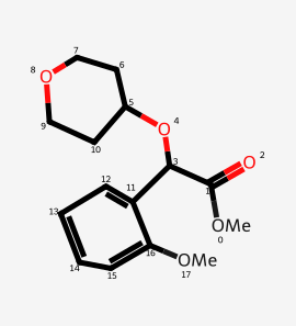 COC(=O)C(OC1CCOCC1)c1ccccc1OC